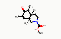 C[C@@H]1C(=O)C(C#N)=C[C@]2(C)CN(C(=O)OC(C)(C)C)CC[C@@H]12